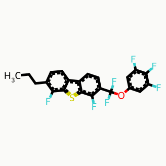 CCCc1ccc2c(sc3c(F)c(C(F)(F)Oc4cc(F)c(F)c(F)c4)ccc32)c1F